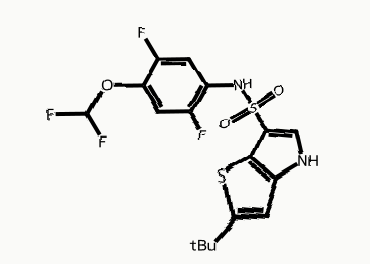 CC(C)(C)c1cc2[nH]cc(S(=O)(=O)Nc3cc(F)c(OC(F)F)cc3F)c2s1